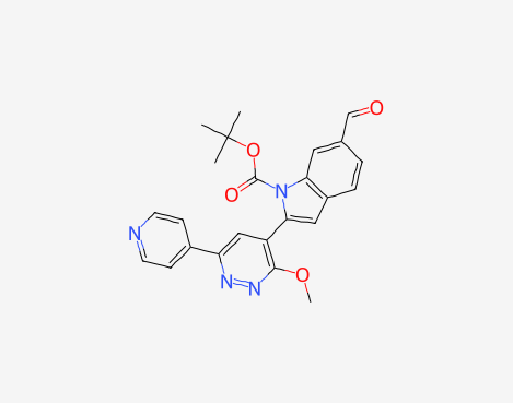 COc1nnc(-c2ccncc2)cc1-c1cc2ccc(C=O)cc2n1C(=O)OC(C)(C)C